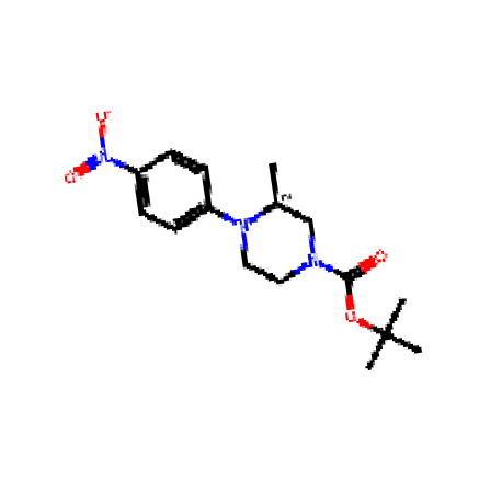 C[C@H]1CN(C(=O)OC(C)(C)C)CCN1c1ccc([N+](=O)[O-])cc1